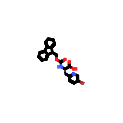 O=C(N[C@@H](Cc1ccc(Br)cn1)C(=O)O)OCC1c2ccccc2-c2ccccc21